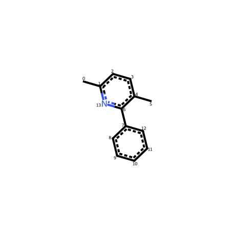 Cc1ccc(C)c(-c2ccccc2)n1